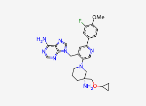 COc1ccc(-c2cc(Cn3cnc4c(N)ncnc43)c(N3CCC[C@](N)(COC4CC4)C3)cn2)cc1F